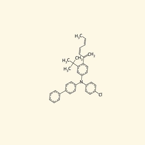 C=C(/C=C\C=C/C)c1ccc(N(c2ccc(Cl)cc2)c2ccc(-c3ccccc3)cc2)cc1C(C)(C)C